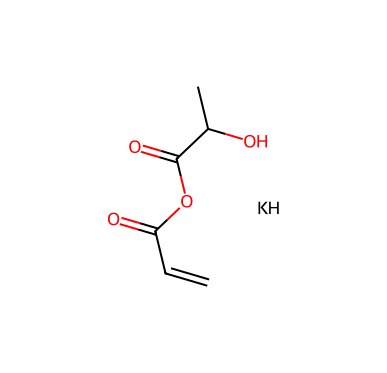 C=CC(=O)OC(=O)C(C)O.[KH]